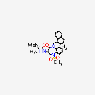 CN[C@@H](C)C(=O)N[C@H]1CN(S(C)(=O)=O)c2ccccc2N(Cc2c(C)ccc3ccccc23)C1=O